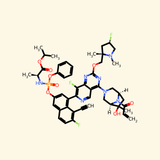 C#Cc1c(F)ccc2cc(OP(=O)(N[C@@H](C)C(=O)OC(C)C)Oc3ccccc3)cc(-c3ncc4c(N5C[C@H]6CC(C)(O)[C@@H](C5)N6C(=O)C=C)nc(OC[C@]5(C)C[C@@H](F)CN5C)nc4c3F)c12